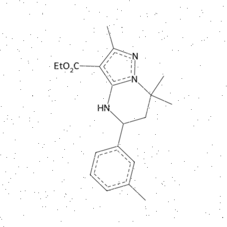 CCOC(=O)c1c(C)nn2c1NC(c1cccc(C)c1)CC2(C)C